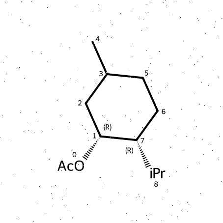 CC(=O)O[C@@H]1CC(C)CC[C@@H]1C(C)C